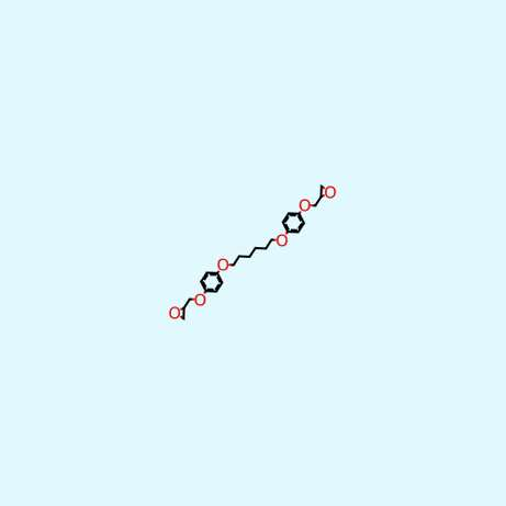 c1cc(OCC2CO2)ccc1OCCCCCCOc1ccc(OCC2CO2)cc1